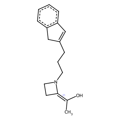 C/C(O)=C1\CCN1CCCC1=Cc2ccccc2C1